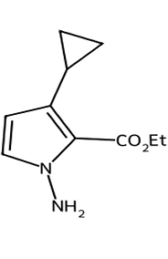 CCOC(=O)c1c(C2CC2)ccn1N